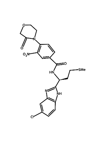 CSCC[C@H](NC(=O)c1ccc(N2CCOCC2=O)c([N+](=O)[O-])c1)c1nc2cc(Cl)ccc2[nH]1